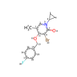 Cc1cn(C2CC2)c(=O)c(Br)c1OCc1ccc(F)cc1